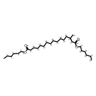 CCCCCCOC(=O)CCCCCCCCCCCCC(C)CC(=O)OCCCCCC